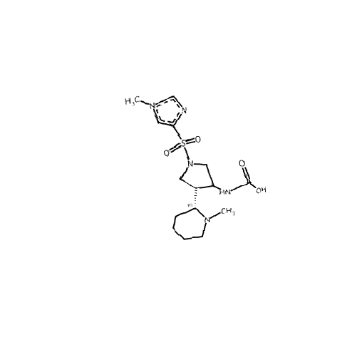 CN1CCCC[C@@H]1C1CN(S(=O)(=O)c2cn(C)cn2)CC1NC(=O)O